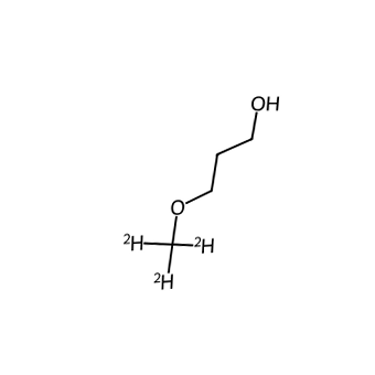 [2H]C([2H])([2H])OCCCO